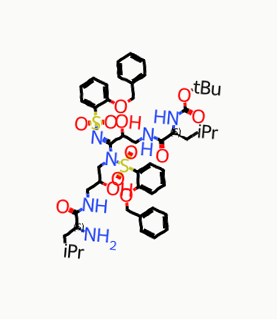 CC(C)C[C@H](NC(=O)OC(C)(C)C)C(=O)NCC(O)C(=NS(=O)(=O)c1ccccc1OCc1ccccc1)N(CC(O)CNC(=O)[C@@H](N)CC(C)C)S(=O)(=O)c1ccccc1OCc1ccccc1